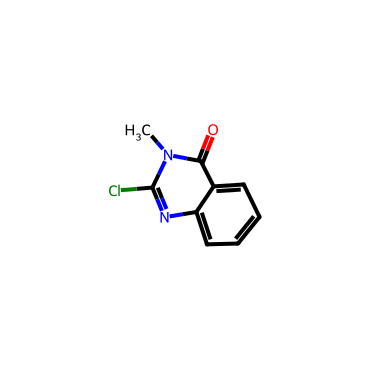 Cn1c(Cl)nc2ccccc2c1=O